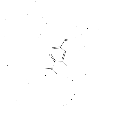 CC(=CC(=O)O)C(=O)N(C)C